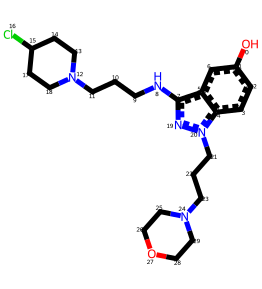 Oc1ccc2c(c1)c(NCCCN1CCC(Cl)CC1)nn2CCCN1CCOCC1